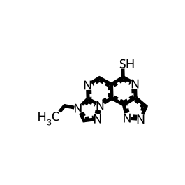 CCn1cnn2c3c(cnc12)c(S)nc1cnnc13